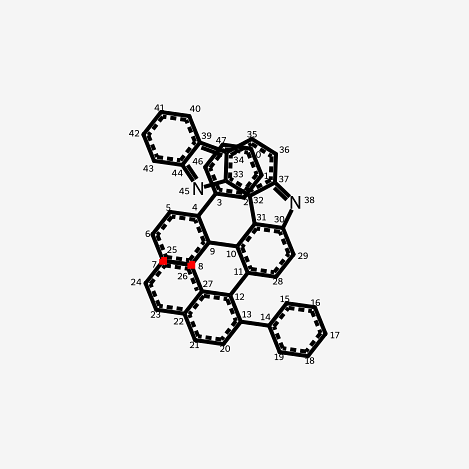 c1ccc(-c2ccccc2-c2c(-c3c(-c4ccccc4)ccc4ccccc34)ccc3c2-c2c4c(ccc2=N3)=c2ccccc2=N4)cc1